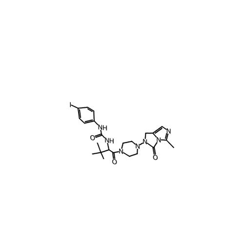 Cc1ncc2n1C(=O)N(N1CCN(C(=O)C(NC(=O)Nc3ccc(I)cc3)C(C)(C)C)CC1)C2